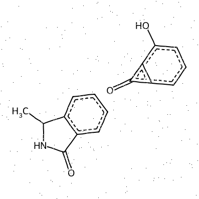 CC1NC(=O)c2ccccc21.O=c1c2cccc(O)c12